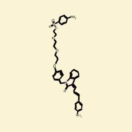 O=C1C(=CC=Cc2ccc([N+](=O)[O-])cc2)c2ccccc2N1Cc1ccc(OCCOCCOCCOS(=O)(=O)c2ccc([N+](=O)[O-])cc2)cc1